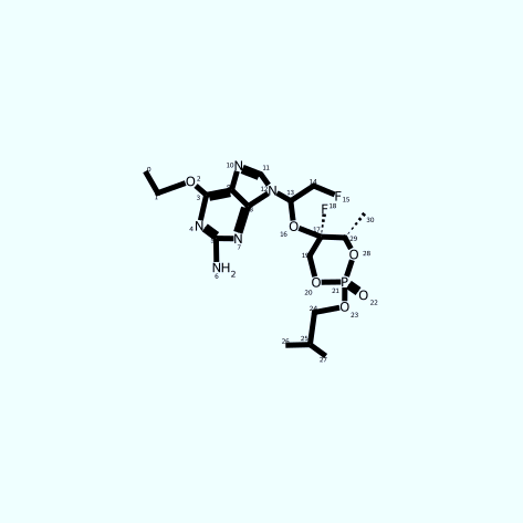 CCOc1nc(N)nc2c1ncn2C(CF)O[C@]1(F)COP(=O)(OCC(C)C)O[C@H]1C